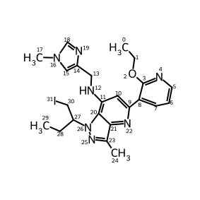 CCOc1ncccc1-c1cc(NCc2cn(C)cn2)c2c(n1)c(C)nn2C(CC)CI